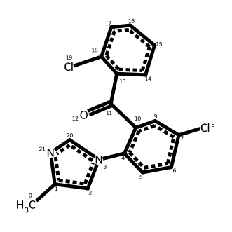 Cc1cn(-c2ccc(Cl)cc2C(=O)c2ccccc2Cl)cn1